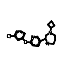 Clc1cccc(Oc2ccc(C3CN(C4CCC4)CCC[N]3)cn2)c1